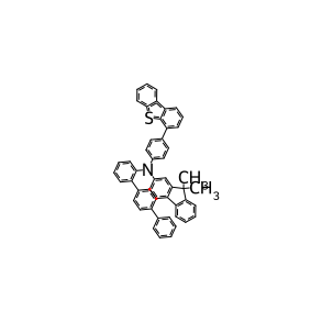 CC1(C)c2ccccc2-c2ccc(N(c3ccc(-c4cccc5c4sc4ccccc45)cc3)c3ccccc3-c3ccc(-c4ccccc4)cc3)cc21